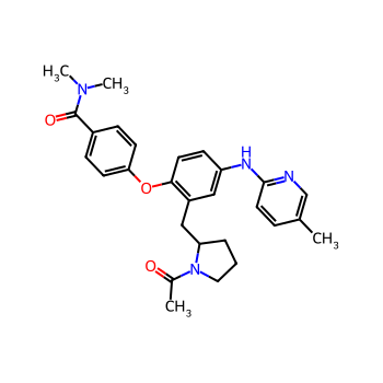 CC(=O)N1CCCC1Cc1cc(Nc2ccc(C)cn2)ccc1Oc1ccc(C(=O)N(C)C)cc1